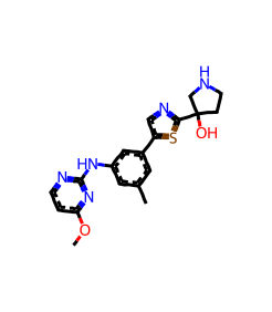 COc1ccnc(Nc2cc(C)cc(-c3cnc(C4(O)CCNC4)s3)c2)n1